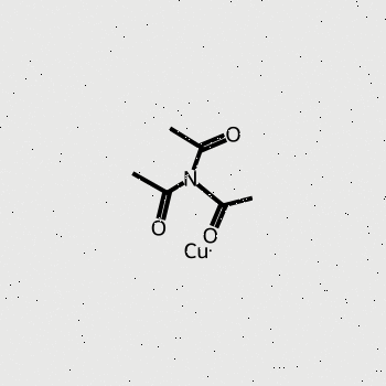 CC(=O)N(C(C)=O)C(C)=O.[Cu]